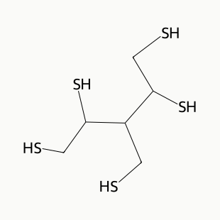 SCC(S)C(CS)C(S)CS